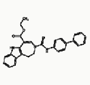 CCOC(=O)C1=CN(C(=O)Nc2ccc(-c3ccccc3)cc2)CCc2c1[nH]c1ccccc21